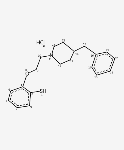 Cl.Sc1ccccc1OCCN1CCC(Cc2ccccc2)CC1